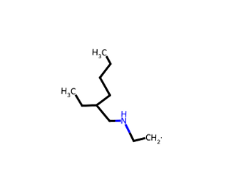 [CH2]CNCC(CC)CCCC